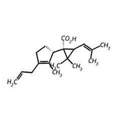 C=CCC1=C(C)[C@@H]([C@@]2(C(=O)O)C(C=C(C)C)C2(C)C)CC1